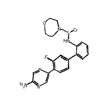 Nc1cnc(-c2ccc(-c3ccccc3N[S+]([O-])N3CCOCC3)cc2F)cn1